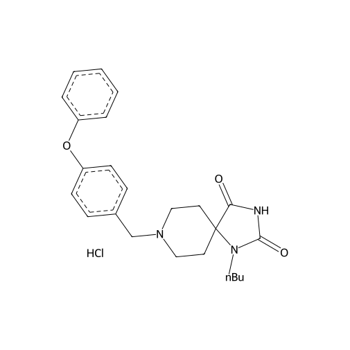 CCCCN1C(=O)NC(=O)C12CCN(Cc1ccc(Oc3ccccc3)cc1)CC2.Cl